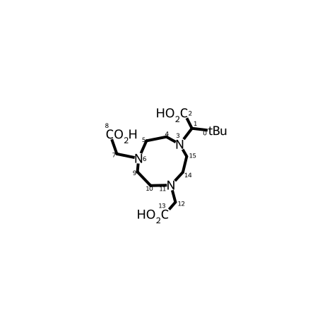 CC(C)(C)C(C(=O)O)N1CCN(CC(=O)O)CCN(CC(=O)O)CC1